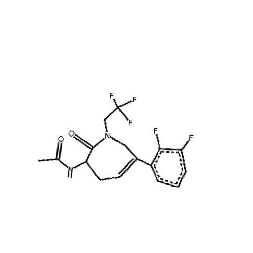 CC(=O)NC1CC=C(c2cccc(F)c2F)CN(CC(F)(F)F)C1=O